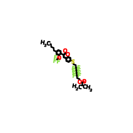 C=C(C)C(=O)OCCC(F)(F)C(F)(F)C(F)(F)C(F)(F)CCSc1ccc2cc(-c3ccc(CCCCC)cc3OC(F)(F)F)c(=O)oc2c1